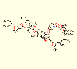 C=CC[C@@H]1/C=C(\C)C[C@H](C)C[C@H](OC)[C@H]2O[C@@](O)(C(=O)C(=O)N3CCCC[C@H]3C(=O)O[C@H](/C(C)=C/[C@@H]3CC[C@@H](OC(=O)CC(C)(C)c4c(C)cc(C)cc4OC(=O)CC(C)CC(=O)OC(COC(C)=O)COC(C)=O)[C@H](OC)C3)[C@H](C)[C@@H](O)CC1=O)[C@H](C)C[C@@H]2OC